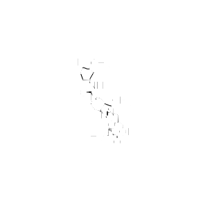 Cc1cc(NC(=O)N2CCc3nn(CC(CO)ON(C)C=O)c(C)c3C2)ccc1F